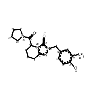 O=C(C1CCCc2nn(Cc3ccc(Cl)c(C(F)(F)F)c3)c(=O)n21)N1CCCC1